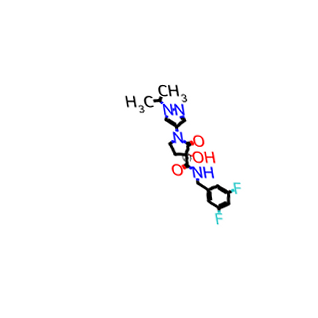 CC(C)n1cc(N2CC[C@](O)(C(=O)NCc3cc(F)cc(F)c3)C2=O)cn1